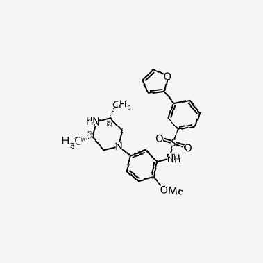 COc1ccc(N2C[C@@H](C)N[C@@H](C)C2)cc1NS(=O)(=O)c1cccc(-c2ccco2)c1